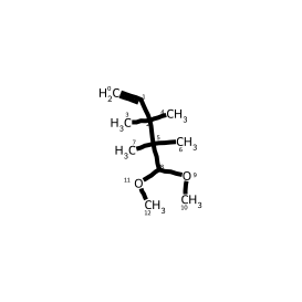 C=CC(C)(C)C(C)(C)C(OC)OC